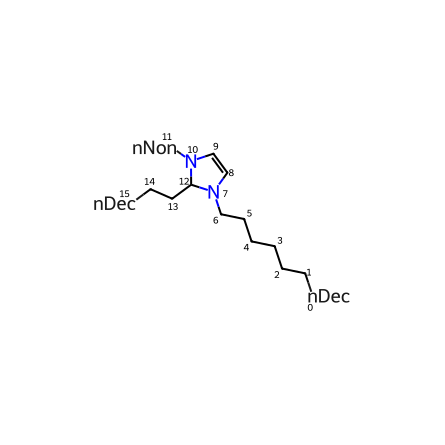 CCCCCCCCCCCCCCCCN1C=CN(CCCCCCCCC)C1CCCCCCCCCCCC